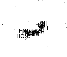 C[C@@H](NC(=O)c1ccc(NNC(=O)CCC(=O)NCCCC[C@H](NC(=O)[C@H](Cc2c[nH]cn2)NC(=O)CN)C(=O)O)cc1)C(=O)N1CCC[C@H]1B(O)O